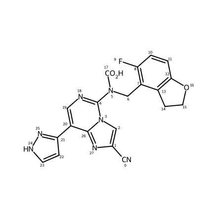 N#Cc1cn2c(N(Cc3c(F)ccc4c3CCO4)C(=O)O)ncc(-c3cc[nH]n3)c2n1